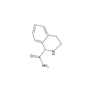 NC(=O)C1N[CH]Cc2ccccc21